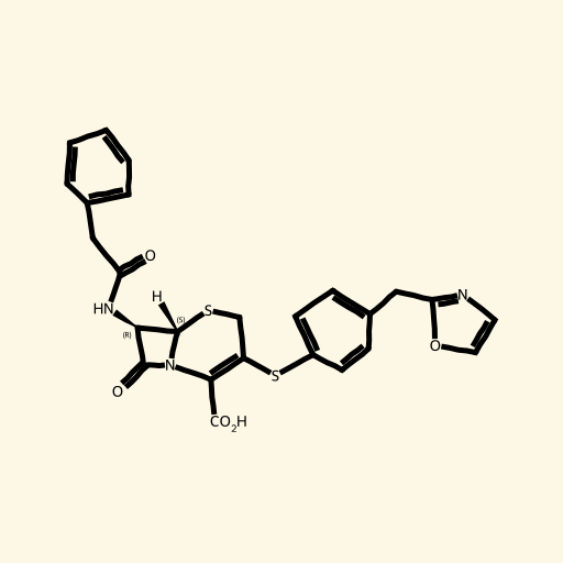 O=C(Cc1ccccc1)N[C@@H]1C(=O)N2C(C(=O)O)=C(Sc3ccc(Cc4ncco4)cc3)CS[C@@H]12